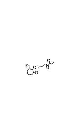 C=CC(=O)NCCCCOc1c(C(C)C)ccccc1=O